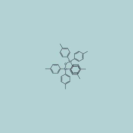 Cc1cc[c]([Sn]([O][Sn]([c]2ccc(C)cc2)([c]2ccc(C)cc2)[c]2ccc(C)cc2)([c]2ccc(C)cc2)[c]2ccc(C)cc2)cc1